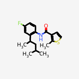 Cc1sccc1C(=O)Nc1ccc(F)cc1C(C)CC(C)C